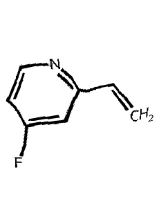 C=Cc1cc(F)ccn1